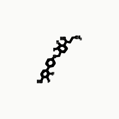 CCCC(O)c1ccc(COc2ccc(-c3ccc(O)c(F)c3F)cc2)c(F)c1F